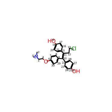 CN(C)CCOc1ccc(C(=C(CCCl)c2ccc(O)cc2)c2ccc(O)cc2)cc1